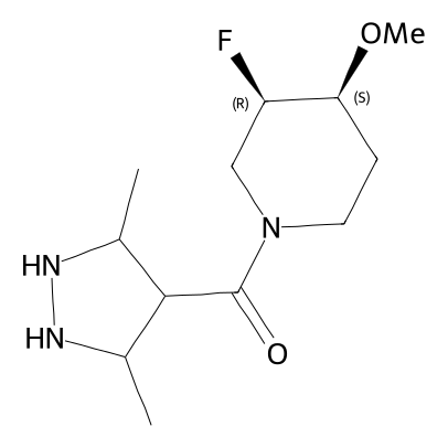 CO[C@H]1CCN(C(=O)C2C(C)NNC2C)C[C@H]1F